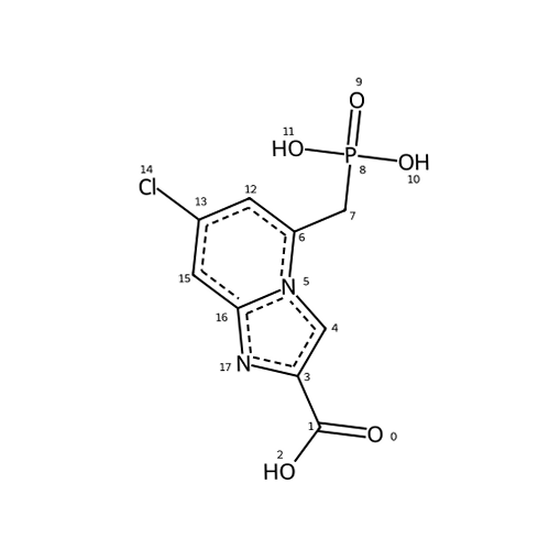 O=C(O)c1cn2c(CP(=O)(O)O)cc(Cl)cc2n1